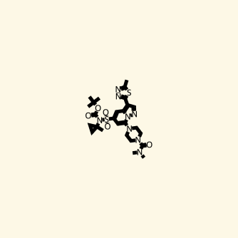 Cc1nnc(-c2cnn3c(N4CCN(C(=O)N(C)C)CC4)cc(S(=O)(=O)N(C(=O)OC(C)(C)C)C4(C)CC4)cc23)s1